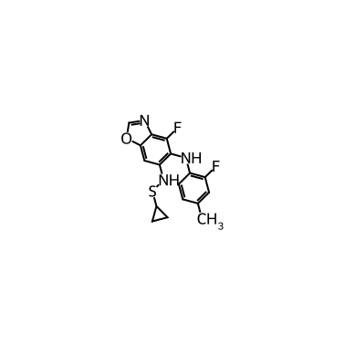 Cc1ccc(Nc2c(NSC3CC3)cc3ocnc3c2F)c(F)c1